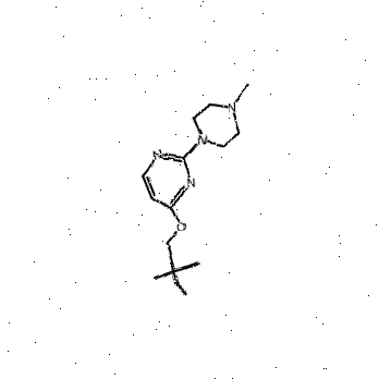 CN1CCN(c2nccc(OCC(C)(C)C)n2)CC1